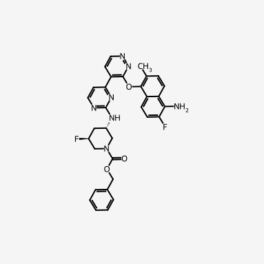 Cc1ccc2c(N)c(F)ccc2c1Oc1nnccc1-c1ccnc(N[C@H]2C[C@H](F)CN(C(=O)OCc3ccccc3)C2)n1